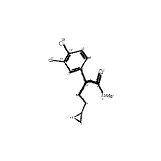 COC(=O)C(CCC1CO1)c1ccc(Cl)c(Cl)c1